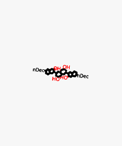 CCCCCCCCCCc1ccc2cc(C3=CC4=C(C=C(O)C3)C=C(c3cc5ccc(CCCCCCCCCC)cc5cc3O)CC(O)=C4)c(O)cc2c1